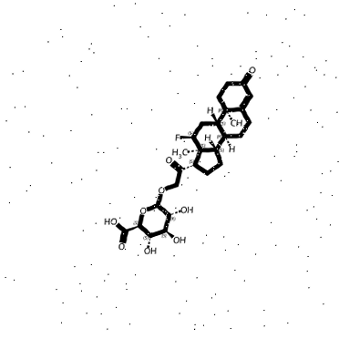 C[C@@]12[C@@H](C(=O)COC3O[C@H](C(=O)O)[C@@H](O)[C@H](O)[C@H]3O)CC[C@H]1[C@@H]1CCC3=CC(=O)CC[C@]3(C)[C@H]1C[C@@H]2F